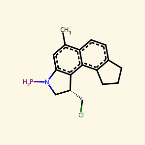 Cc1cc2c(c3c4c(ccc13)CCC4)[C@H](CCl)CN2P